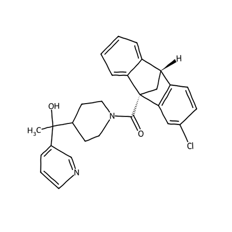 CC(O)(c1cccnc1)C1CCN(C(=O)[C@@]23C[C@H](c4ccccc42)c2ccc(Cl)cc23)CC1